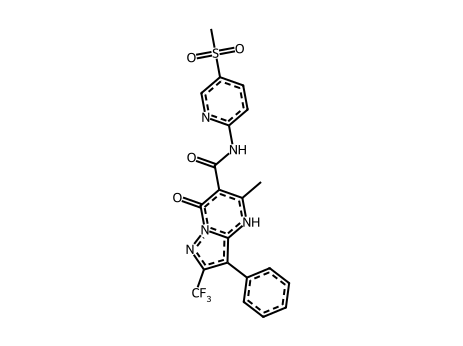 Cc1[nH]c2c(-c3ccccc3)c(C(F)(F)F)nn2c(=O)c1C(=O)Nc1ccc(S(C)(=O)=O)cn1